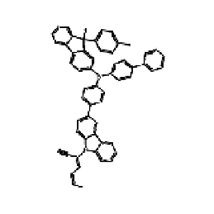 C#C/C(=C\C=C/C)n1c2ccccc2c2cc(-c3ccc(N(c4ccc(-c5ccccc5)cc4)c4ccc5c(c4)C(C)(c4ccc(C)cc4)c4ccccc4-5)cc3)ccc21